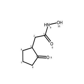 O=C(CC1CCCC1=O)NO